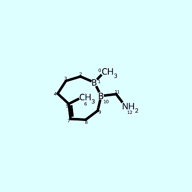 CB1CCC/C(C)=C/CCB1CN